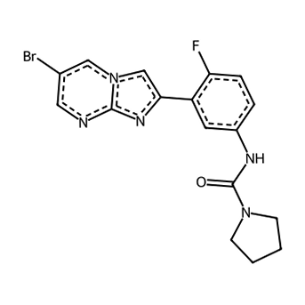 O=C(Nc1ccc(F)c(-c2cn3cc(Br)cnc3n2)c1)N1CCCC1